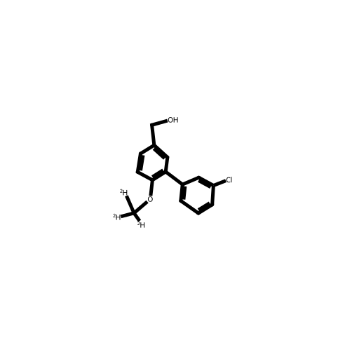 [2H]C([2H])([2H])Oc1ccc(CO)cc1-c1cccc(Cl)c1